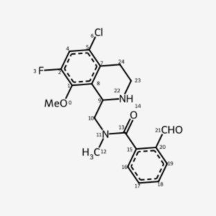 COc1c(F)cc(Cl)c2c1C(CN(C)C(=O)c1ccccc1C=O)NCC2